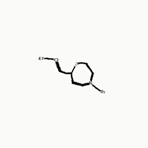 CCOCC1CCN(C(C)C)CCO1